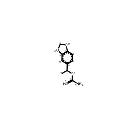 CC(SC(=N)N)c1ccc2c(c1)OCO2